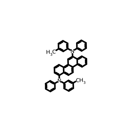 Cc1cccc(N(c2ccccc2)c2cc3c4cccc(N(c5ccccc5)c5cccc(C)c5)c4ccc3c3ccccc23)c1